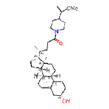 COC(C)C1CCN(C(=O)CC[C@@H](C)[C@H]2CC[C@H]3[C@@H]4CC=C5C[C@@H](O)CC[C@]5(C)[C@H]4CC[C@]23C)CC1